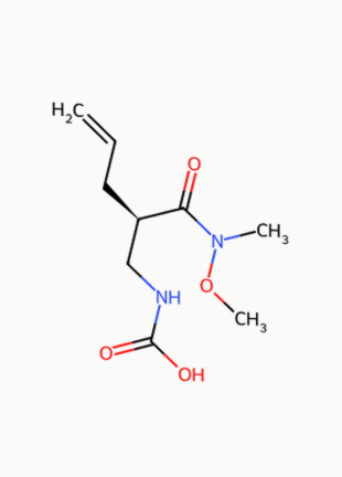 C=CC[C@H](CNC(=O)O)C(=O)N(C)OC